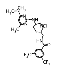 Cc1cc(N(C)C)nc(NC2CCC(CNC(=O)c3cc(C(F)(F)F)cc(C(F)(F)F)c3)CC2)n1.Cl